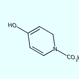 O=C(O)N1C=CC(O)=CC1